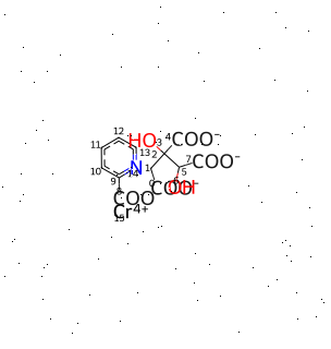 O=C([O-])CC(O)(C(=O)[O-])C(O)C(=O)[O-].O=C([O-])c1ccccn1.[Cr+4]